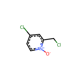 [O-][n+]1ccc(Cl)cc1CCl